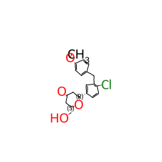 COc1ccc(Cc2cc([C@H]3CC(=O)C[C@@H](CO)O3)ccc2Cl)cc1